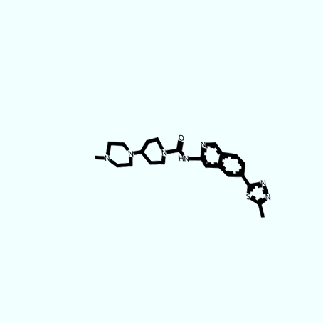 Cc1nnc(-c2ccc3cnc(NC(=O)N4CCC(N5CCN(C)CC5)CC4)cc3c2)s1